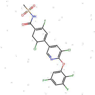 CS(=O)(=O)NC(=O)C1=C(F)C=C(c2cnc(Oc3cc(F)cc(F)c3F)c(Cl)c2)C(Cl)C1